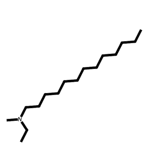 CCCCCCCCCCCCCN(C)CC